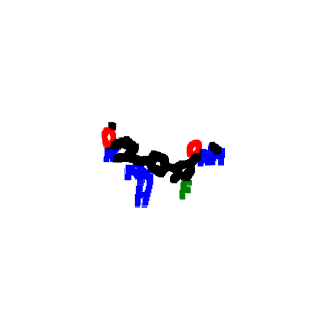 CCNC(=O)c1cc(F)c(C)c(-c2ccc3c(-c4ccc(OC)nc4)n[nH]c3c2)c1